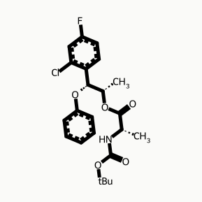 C[C@H](NC(=O)OC(C)(C)C)C(=O)O[C@@H](C)[C@H](Oc1ccccc1)c1ccc(F)cc1Cl